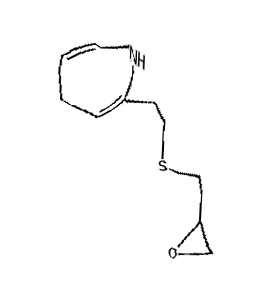 C1=CNC(CSCC2CO2)=CC1